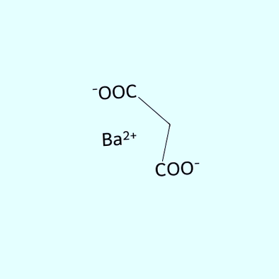 O=C([O-])CC(=O)[O-].[Ba+2]